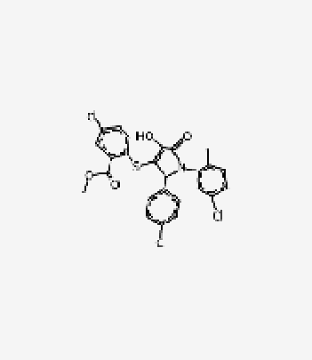 COC(=O)c1cc(Cl)ccc1SC1=C(O)C(=O)N(c2cc(Cl)ccc2C)C1c1ccc(Cl)cc1